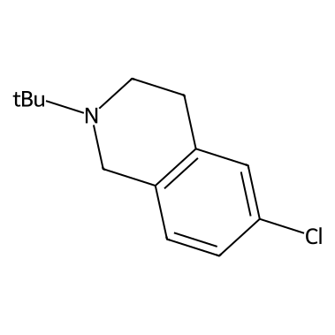 CC(C)(C)N1CCc2cc(Cl)ccc2C1